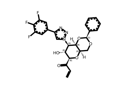 C=CC(=O)[C@@H]1O[C@@H]2CO[C@H](c3ccccc3)O[C@@H]2[C@H](n2cc(-c3cc(F)c(F)c(F)c3)nn2)[C@H]1O